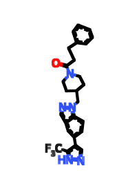 O=C(CCc1ccccc1)N1CCC(Cn2ncc3cc(-c4cn[nH]c4C(F)(F)F)ccc32)CC1